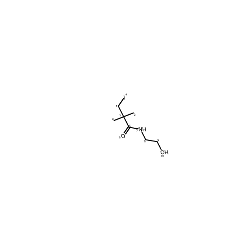 CC(C)(CI)C(=O)NCCO